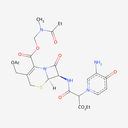 CCOC(=O)C(C(=O)N[C@@H]1C(=O)N2C(C(=O)OCN(C)C(=O)CC)=C(COC(C)=O)CS[C@H]12)n1ccc(=O)c(N)c1